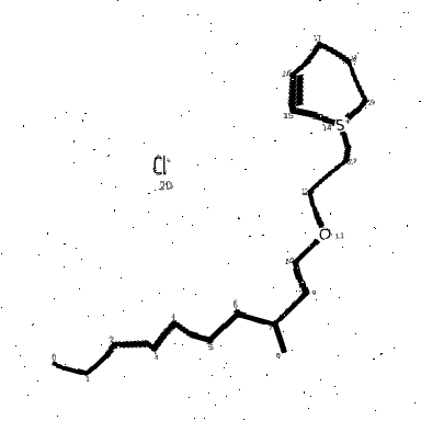 CCCCCCCC(C)CCOCC[S+]1C=CCCC1.[Cl-]